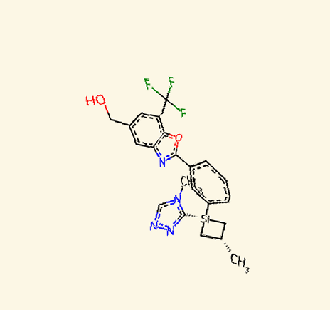 Cn1cnnc1[Si@]1(c2cccc(-c3nc4cc(CO)cc(C(F)(F)F)c4o3)c2)C[C@H](C)C1